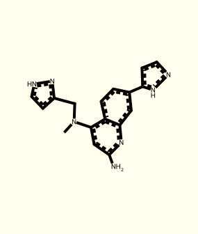 CN(Cc1cc[nH]n1)c1cc(N)nc2cc(-c3ccn[nH]3)ccc12